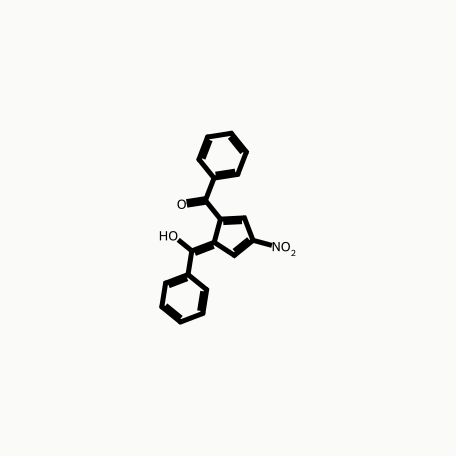 O=C(C1=CC([N+](=O)[O-])=CC1=C(O)c1ccccc1)c1ccccc1